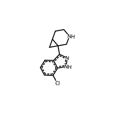 Clc1cccc2c(C34CNCCC3C4)n[nH]c12